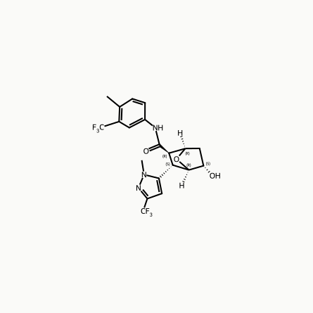 Cc1ccc(NC(=O)[C@@H]2[C@@H](c3cc(C(F)(F)F)nn3C)[C@H]3O[C@@H]2C[C@@H]3O)cc1C(F)(F)F